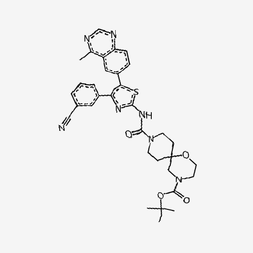 Cc1ncnc2ccc(-c3sc(NC(=O)N4CCC5(CC4)CN(C(=O)OC(C)(C)C)CCO5)nc3-c3cccc(C#N)c3)cc12